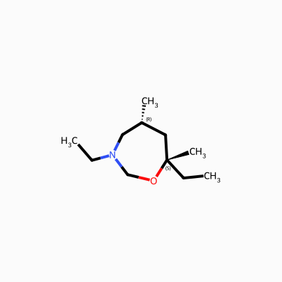 CCN1CO[C@@](C)(CC)C[C@@H](C)C1